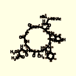 CCCC[C@H](NC(C)=O)C(=O)N[C@H]1CNC(=O)CCC(=O)NC[C@@H](C(=O)N[C@@H](C)C(N)=O)NC(=O)[C@H](C)NC(=O)[C@@H](Cc2ccccc2)NC(=O)[C@H](Cc2c[nH]cn2)NC1=O